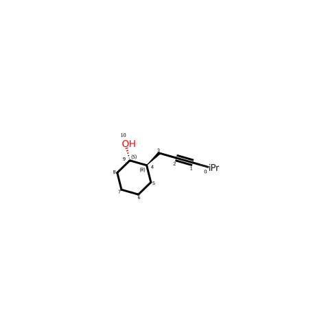 CC(C)C#CC[C@H]1CCCC[C@@H]1O